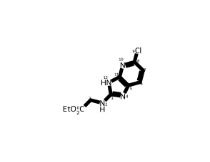 CCOC(=O)CNc1nc2ccc(Cl)nc2[nH]1